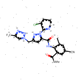 CNC(=O)c1cc(C#N)cc(C)c1NC(=O)c1cc(Cn2cc(C(F)(F)F)nn2)nn1-c1ncccc1Cl